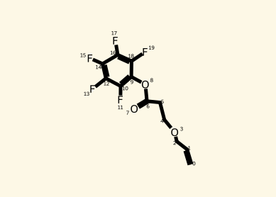 C=CCOCCC(=O)Oc1c(F)c(F)c(F)c(F)c1F